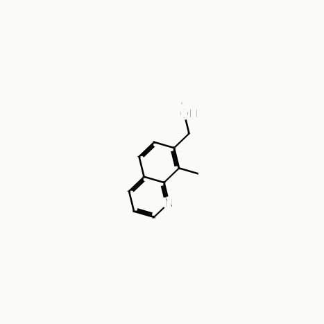 Cc1c(CO)ccc2cccnc12